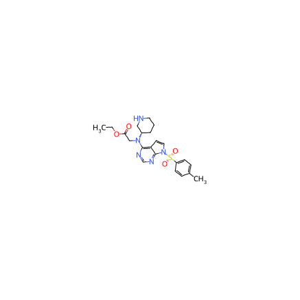 CCOC(=O)CN(c1ncnc2c1ccn2S(=O)(=O)c1ccc(C)cc1)[C@@H]1CCCNC1